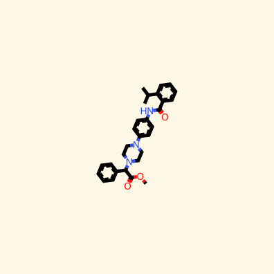 COC(=O)C(c1ccccc1)N1CCN(c2ccc(NC(=O)c3ccccc3C(C)C)cc2)CC1